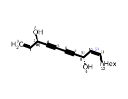 C=C[C@@H](O)C#CC#C[C@@H](O)/C=C\CCCCCC